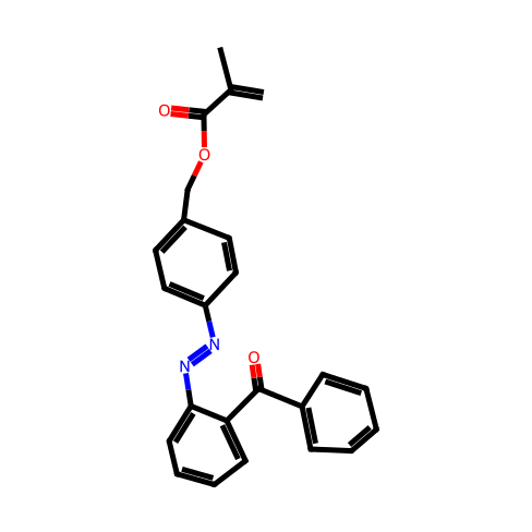 C=C(C)C(=O)OCc1ccc(N=Nc2ccccc2C(=O)c2ccccc2)cc1